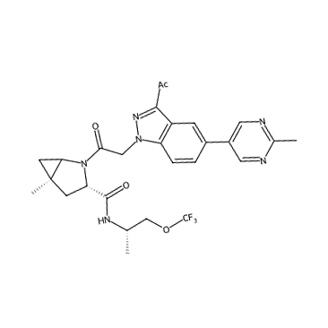 CC(=O)c1nn(CC(=O)N2C3C[C@]3(C)C[C@H]2C(=O)N[C@@H](C)COC(F)(F)F)c2ccc(-c3cnc(C)nc3)cc12